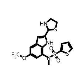 CN(c1cc(OC(F)(F)F)cc2cc(C3NCCS3)[nH]c12)S(=O)(=O)c1cccs1